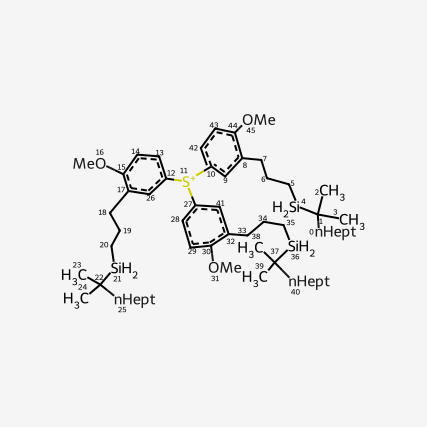 CCCCCCCC(C)(C)[SiH2]CCCc1cc([S+](c2ccc(OC)c(CCC[SiH2]C(C)(C)CCCCCCC)c2)c2ccc(OC)c(CCC[SiH2]C(C)(C)CCCCCCC)c2)ccc1OC